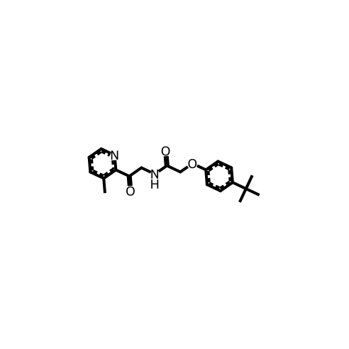 Cc1cccnc1C(=O)CNC(=O)COc1ccc(C(C)(C)C)cc1